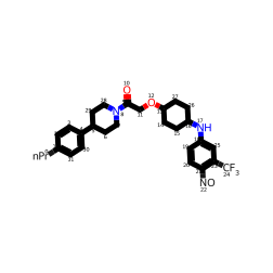 CCCc1ccc(C2CCN(C(=O)COC3CCC(Nc4ccc(N=O)c(C(F)(F)F)c4)CC3)CC2)cc1